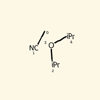 CC#N.CC(C)OC(C)C